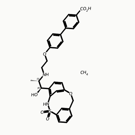 C.C[C@H](NCCOc1ccc(-c2ccc(C(=O)O)cc2)cc1)[C@H](O)c1ccc2cc1NS(=O)(=O)c1cccc(c1)CO2